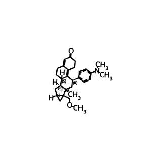 COCC12C[C@@H]1C[C@H]1[C@@H]3CCC4=CC(=O)CCC4=C3[C@@H](c3ccc(N(C)C)cc3)C[C@@]12C